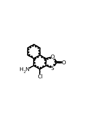 Nc1c(Cl)c2sc(=O)oc2c2ccccc12